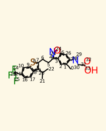 Cc1cc2c(CCc3sc4cc(C(F)(F)F)ccc4c3C(C)C)noc2cc1N(C)CC(=O)O